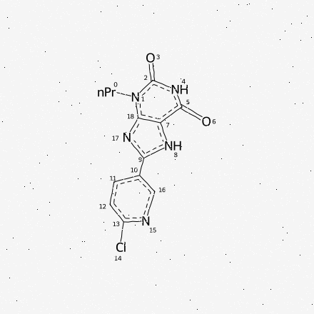 CCCn1c(=O)[nH]c(=O)c2[nH]c(-c3ccc(Cl)nc3)nc21